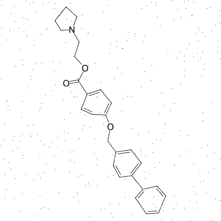 O=C(OCCN1CCCC1)c1ccc(OCc2ccc(-c3ccccc3)cc2)cc1